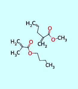 C=C(C)C(=O)OCCCC.C=CCC(=C)C(=O)OC